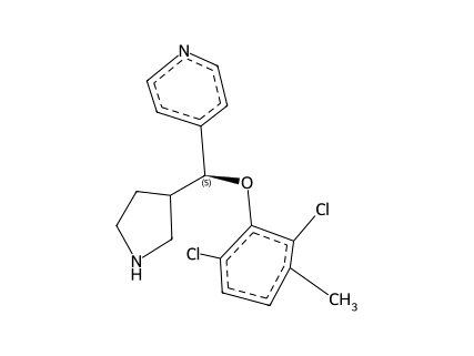 Cc1ccc(Cl)c(O[C@H](c2ccncc2)C2CCNC2)c1Cl